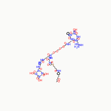 CC(=O)CC(=O)CCc1ccc(NC(=O)CCCCSC2CC(=O)N(CCC(=O)NC(CCCCNC(=O)Cn3cc(CNC(=O)CN4CCN(CC(=O)O)CCN(CC(=O)O)CCN(CC(=O)O)CC4)nn3)C(=O)NCCOCCOCCOCCOCCC(=O)NCCCC[C@@H]3NC(=O)[C@@H](Cc4ccccc4)NC(=O)[C@H](CC(=O)O)NC(=O)CNC(=O)[C@H](CCCNC(=N)N)NC3=O)C2=O)cc1